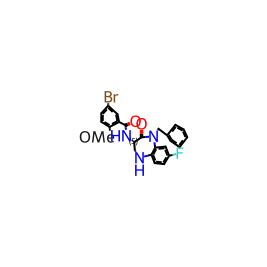 COc1ccc(Br)cc1C(=O)N[C@H]1CNc2ccc(F)cc2N(Cc2ccccc2)C1=O